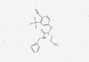 CCC[C@@H](Oc1ccc(C#N)c(C(F)(F)F)c1)C(=O)NCc1ccccc1